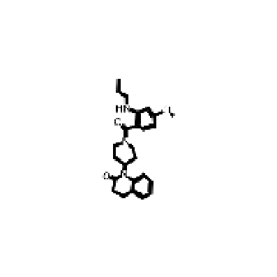 CCCNc1cc(OC)ccc1C(=O)N1CCC(N2C(=O)CCc3ccccc32)CC1